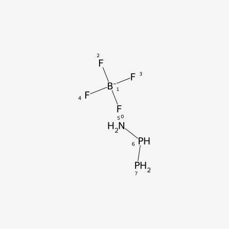 F[B-](F)(F)F.NPP